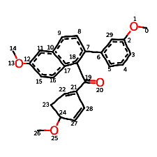 COc1cccc(-c2ccc3cc(OC)ccc3c2C(=O)C2=CCC(OC)C=C2)c1